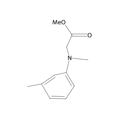 COC(=O)CN(C)c1cccc(C)c1